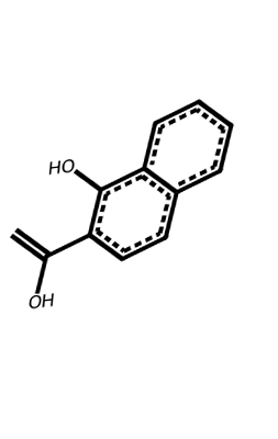 C=C(O)c1ccc2ccccc2c1O